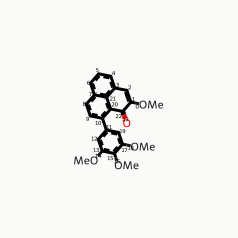 COC1=Cc2cccc3ccc(-c4cc(OC)c(OC)c(OC)c4)c(c23)C1=O